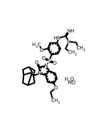 CCOc1ccc2c(c1)n(C13CC4CC(CC(C4)C1)C3)c(=O)n2S(=O)(=O)c1ccc(NC(=N)N(CC)CC)cc1OC.Cl.O